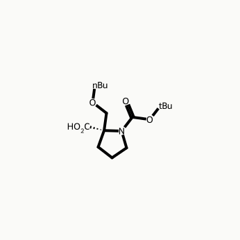 CCCCOC[C@]1(C(=O)O)CCCN1C(=O)OC(C)(C)C